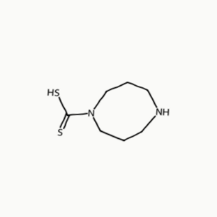 S=C(S)N1CCCNCCC1